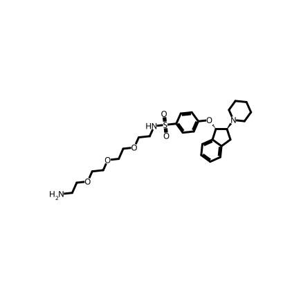 NCCOCCOCCOCCNS(=O)(=O)c1ccc(O[C@H]2c3ccccc3C[C@@H]2N2CCCCC2)cc1